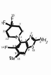 Nc1nc2c(N3CCC(F)(F)CC3)c(F)c(Br)cc2s1